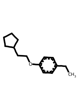 CCc1ccc(OCCC2CCCC2)cc1